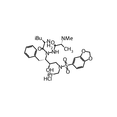 CC[C@H](C)[C@H](N)C(=O)N(NC(=O)[C@@H](C)NC)[C@@H](Cc1ccccc1)[C@H](O)CN(CC(C)C)S(=O)(=O)c1ccc2c(c1)OCO2.Cl